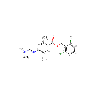 CCN(C)/C=N/c1cc(C)c(C(=O)OCc2c(F)cccc2Cl)cc1C